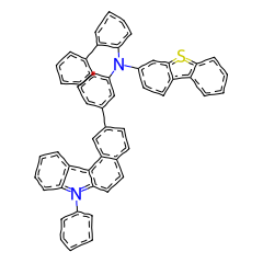 c1ccc(-c2ccccc2N(c2cccc(-c3ccc4ccc5c(c4c3)c3ccccc3n5-c3ccccc3)c2)c2ccc3c(c2)sc2ccccc23)cc1